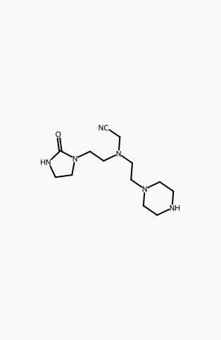 N#CCN(CCN1CCNCC1)CCN1CCNC1=O